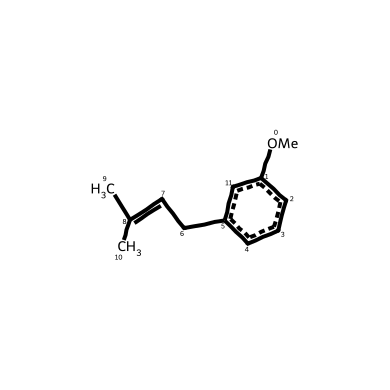 COc1cccc(CC=C(C)C)c1